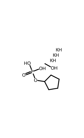 CO.O=P(O)(O)OC1CCCC1.[KH].[KH].[KH]